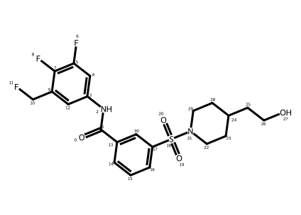 O=C(Nc1cc(F)c(F)c(CF)c1)c1cccc(S(=O)(=O)N2CCC(CCO)CC2)c1